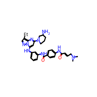 CCc1cnn2c(Nc3cccc(NC(=O)c4ccc(NC(=O)C=CCN(C)C)cc4)c3)cc(N3CCCC(N)C3)nc12